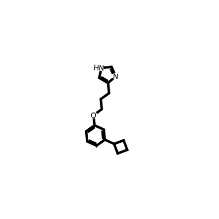 [c]1ccc(OCCCc2c[nH]cn2)cc1C1CCC1